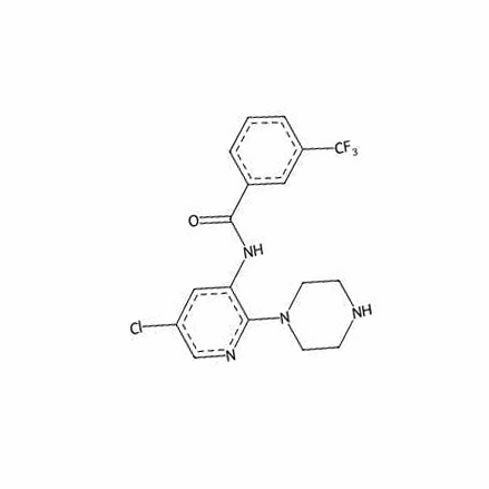 O=C(Nc1cc(Cl)cnc1N1CCNCC1)c1cccc(C(F)(F)F)c1